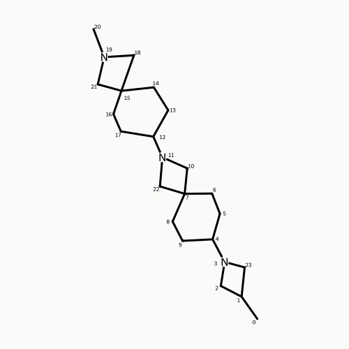 CC1CN(C2CCC3(CC2)CN(C2CCC4(CC2)CN(C)C4)C3)C1